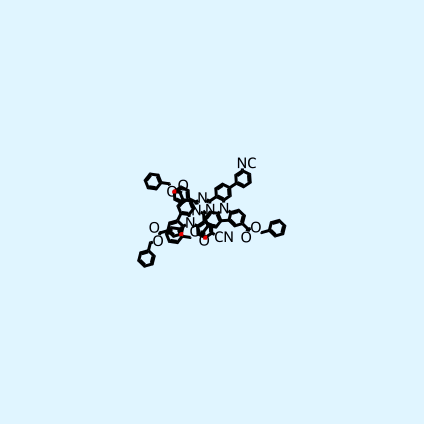 [C-]#[N+]c1cccc(-c2ccc(-c3nc(-c4ccccc4)nc(-c4cc(C#N)ccc4-n4c5ccc(C(=O)OCc6ccccc6)cc5c5cc(C(=O)OCc6ccccc6)ccc54)n3)c(-n3c4ccc(C(=O)OCc5ccccc5)cc4c4cc(C(=O)OCc5ccccc5)ccc43)c2)c1